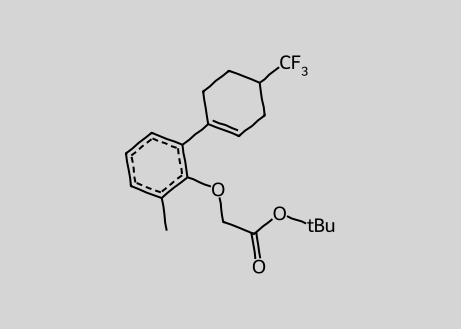 Cc1cccc(C2=CCC(C(F)(F)F)CC2)c1OCC(=O)OC(C)(C)C